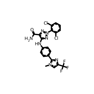 Cn1cc(C(F)(F)F)nc1-c1ccc(Nc2nn(-c3c(Cl)cccc3Cl)nc2C(N)=O)cc1